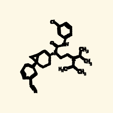 CC(C)N(CCN(C(=O)Nc1cccc(Cl)c1)[C@@H]1CC[C@]2(c3cccc(C#N)c3)CC2C1)C(C)C